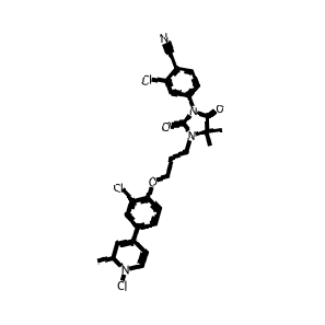 CC1C=C(c2ccc(OCCCN3C(=O)N(c4ccc(C#N)c(Cl)c4)C(=O)C3(C)C)c(Cl)c2)C=CN1Cl